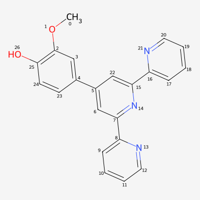 COc1cc(-c2cc(-c3ccccn3)nc(-c3ccccn3)c2)ccc1O